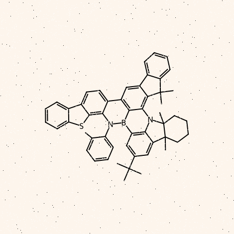 Cc1ccccc1N1B2c3cc(C(C)(C)C)cc4c3N(c3c2c(cc2c3C(C)(C)c3ccccc3-2)-c2ccc3c(sc5ccccc53)c21)C1(C)CCCCC41C